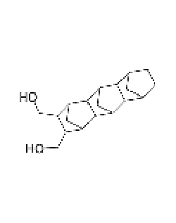 OCC1C(CO)C2CC1C1C3CC(C4C5CCC(C5)C34)C21